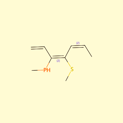 C=C/C(PC)=C(\C=C/C)SC